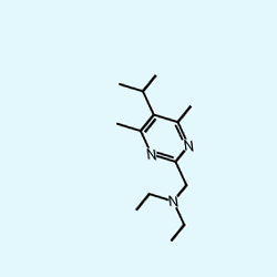 CCN(CC)Cc1nc(C)c(C(C)C)c(C)n1